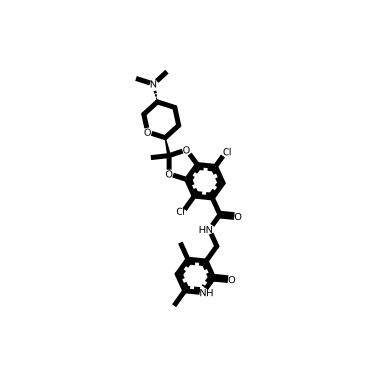 Cc1cc(C)c(CNC(=O)c2cc(Cl)c3c(c2Cl)OC(C)([C@@H]2CC[C@@H](N(C)C)CO2)O3)c(=O)[nH]1